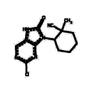 CC1(C#N)CCCCC1n1c(=O)[nH]c2cnc(Cl)nc21